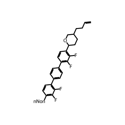 C=CCCC1CCC(c2ccc(-c3ccc(-c4ccc(CCCCCCCCC)c(F)c4F)cc3)c(F)c2F)OC1